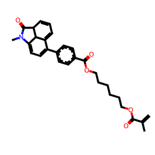 C=C(C)C(=O)OCCCCCCOC(=O)c1ccc(C2=CC=C3C4C2=CC=CC4C(=O)N3C)cc1